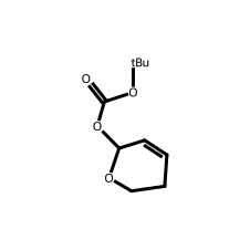 CC(C)(C)OC(=O)OC1C=CCCO1